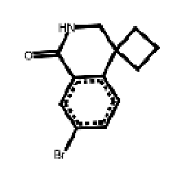 O=C1NCC2(CCC2)c2ccc(Br)cc21